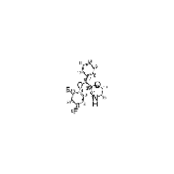 Fc1ccc(OC(c2ccccc2)[C@@H]2CNCCO2)c(F)c1